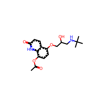 CC(=O)Oc1ccc(OCC(O)CNC(C)(C)C)c2ccc(=O)[nH]c12